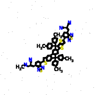 C=NC/C(C#N)=C/c1ccc(-c2cc3cc4c(cc3s2)C(c2ccc(C)cc2)(c2ccc(C)cc2)c2cc3c(cc2-4)C(c2ccc(C)cc2)(c2ccc(C)cc2)c2c-3sc3cc(-c4ccc(C=C(C#N)C#N)c5nsnc45)sc23)c2nsnc12